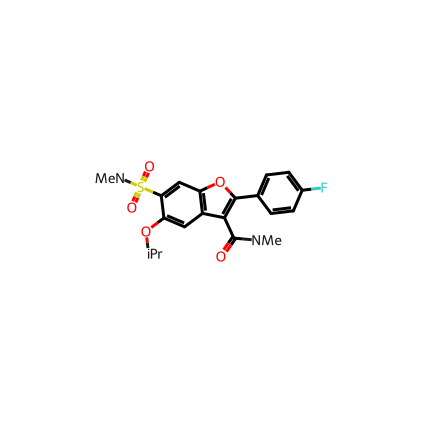 CNC(=O)c1c(-c2ccc(F)cc2)oc2cc(S(=O)(=O)NC)c(OC(C)C)cc12